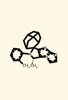 Cc1ccccc1N1[C@@H](C)c2c(nc3sccn23)C12C1CC3CC(C1)CC2C3